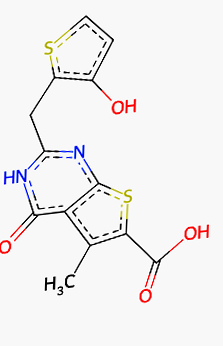 Cc1c(C(=O)O)sc2nc(Cc3sccc3O)[nH]c(=O)c12